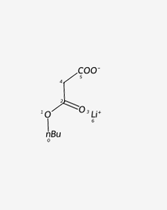 CCCCOC(=O)CC(=O)[O-].[Li+]